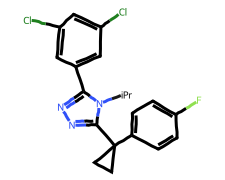 CC(C)n1c(-c2cc(Cl)cc(Cl)c2)nnc1C1(c2ccc(F)cc2)CC1